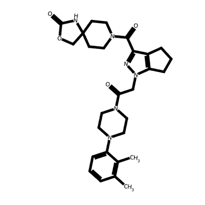 Cc1cccc(N2CCN(C(=O)Cn3nc(C(=O)N4CCC5(CC4)COC(=O)N5)c4c3CCC4)CC2)c1C